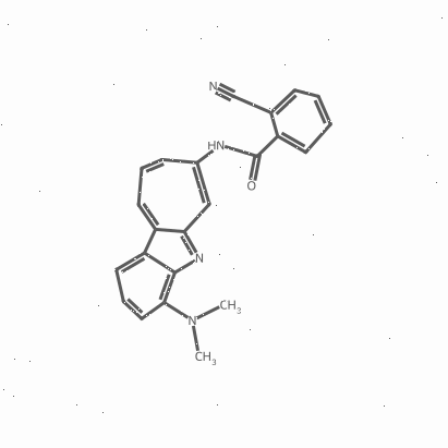 CN(C)c1cccc2c3cccc(NC(=O)c4ccccc4C#N)cc-3nc12